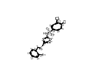 O=S(=O)(Nc1nnc(SCc2ccccc2F)s1)c1ccc(Cl)c(Cl)c1